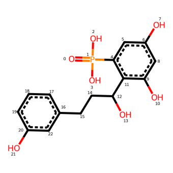 O=P(O)(O)c1cc(O)cc(O)c1C(O)CCc1cccc(O)c1